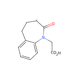 O=C(O)CN1C(=O)[C]CCc2ccccc21